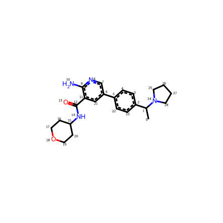 CC(c1ccc(-c2cnc(N)c(C(=O)NC3CCOCC3)c2)cc1)N1CCCC1